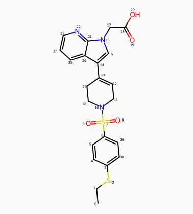 CCSc1ccc(S(=O)(=O)N2CC=C(c3cn(CC(=O)O)c4ncccc34)CC2)cc1